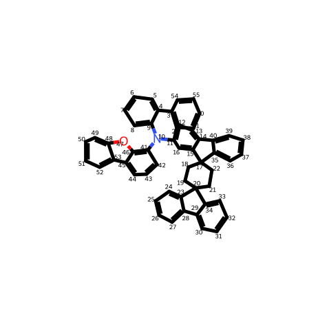 c1ccc(-c2ccccc2N(c2ccc3c(c2)C2(CCC4(CC2)c2ccccc2-c2ccccc24)c2ccccc2-3)c2cccc3c2oc2ccccc23)cc1